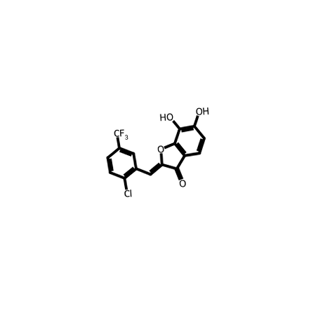 O=C1C(=Cc2cc(C(F)(F)F)ccc2Cl)Oc2c1ccc(O)c2O